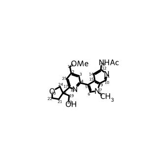 COCc1cc(-c2cn(C)c3cnc(NC(C)=O)cc23)nc(C2(CO)CCOC2)c1